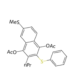 CCCc1c(Sc2ccccc2)c(OC(C)=O)c2ccc(SC)cc2c1OC(C)=O